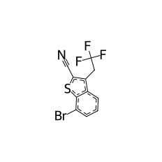 N#Cc1sc2c(Br)cccc2c1CC(F)(F)F